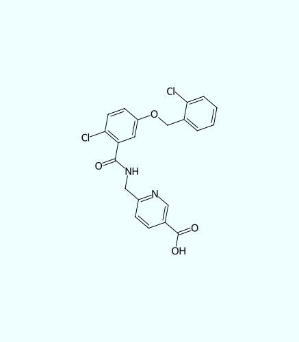 O=C(O)c1ccc(CNC(=O)c2cc(OCc3ccccc3Cl)ccc2Cl)nc1